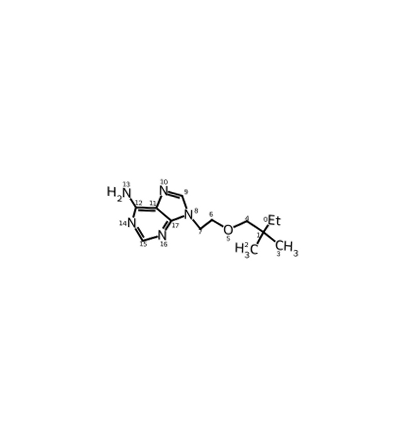 CCC(C)(C)COCCn1cnc2c(N)ncnc21